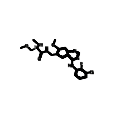 CN[C@@H](COC)C(=O)NCc1cc2c(Nc3cccc(Cl)c3F)ncnc2cc1OC